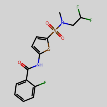 CN(CC(F)F)S(=O)(=O)c1ccc(NC(=O)c2ccccc2F)s1